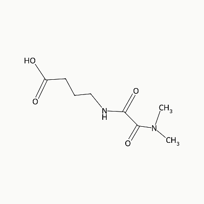 CN(C)C(=O)C(=O)NCCCC(=O)O